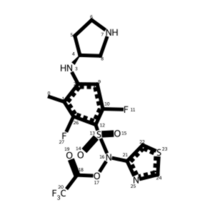 Cc1c(N[C@H]2CCNC2)cc(F)c(S(=O)(=O)N(OC(=O)C(F)(F)F)c2cscn2)c1F